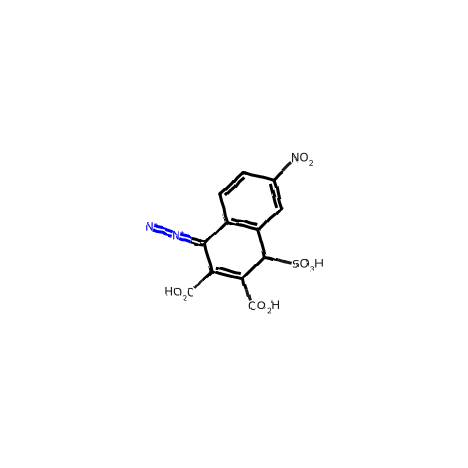 [N-]=[N+]=C1C(C(=O)O)=C(C(=O)O)C(S(=O)(=O)O)c2cc([N+](=O)[O-])ccc21